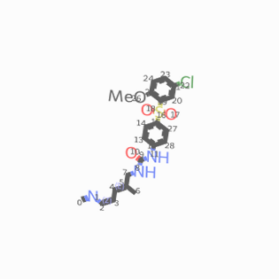 C=N/C=C\C=C(/C)CNC(=O)Nc1ccc(S(=O)(=O)c2cc(Cl)ccc2OC)cc1